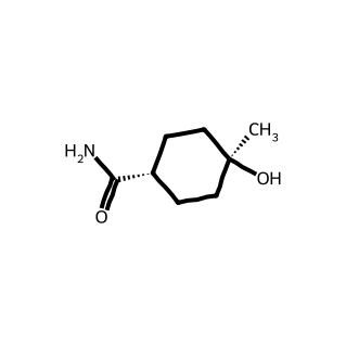 C[C@]1(O)CC[C@H](C(N)=O)CC1